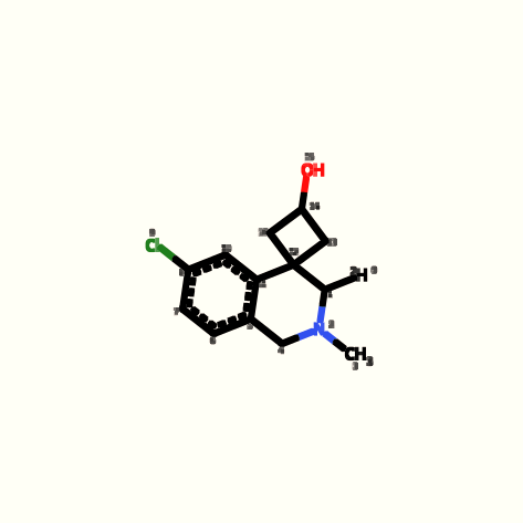 [2H]C1N(C)Cc2ccc(Cl)cc2C12CC(O)C2